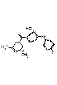 C[C@@H]1CN(C(=O)c2ccc(Nc3ccc(Cl)cc3)nc2)C[C@H](C)O1.Cl